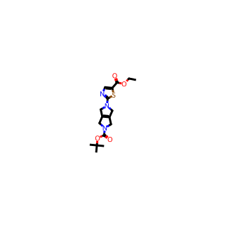 CCOC(=O)c1cnc(N2CC3=C(CN(C(=O)OC(C)(C)C)C3)C2)s1